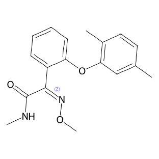 CNC(=O)/C(=N\OC)c1ccccc1Oc1cc(C)ccc1C